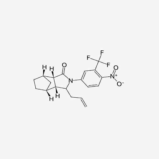 C=CCC1[C@@H]2[C@@H]3CC[C@@H](C3)[C@@H]2C(=O)N1c1ccc([N+](=O)[O-])c(C(F)(F)F)c1